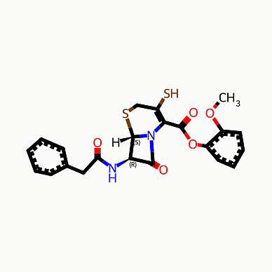 COc1ccccc1OC(=O)C1=C(S)CS[C@H]2[C@H](NC(=O)Cc3ccccc3)C(=O)N12